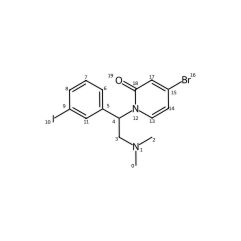 CN(C)CC(c1cccc(I)c1)n1ccc(Br)cc1=O